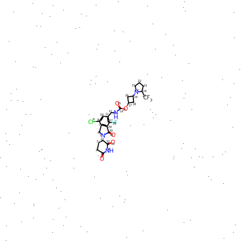 O=C1CC[C@H](N2Cc3c(Cl)cc(CNC(=O)OC4CC(N5CCCC5C(F)(F)F)C4)c(F)c3C2=O)C(=O)N1